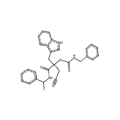 CC(NC(=O)C(CC#N)(Cc1c[nH]c2ccccc12)OC(=O)NCc1ccccc1)c1ccccc1